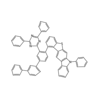 c1ccc(-c2cccc(-c3ccc(-c4cccc5sc6cc7c(cc6c45)c4ccccc4n7-c4ccccc4)c(-c4nc(-c5ccccc5)nc(-c5ccccc5)n4)c3)c2)cc1